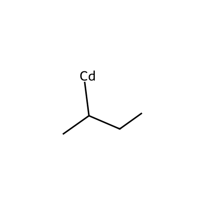 CC[CH](C)[Cd]